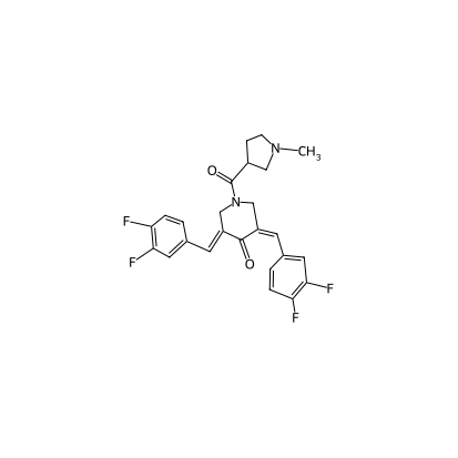 CN1CCC(C(=O)N2CC(=Cc3ccc(F)c(F)c3)C(=O)C(=Cc3ccc(F)c(F)c3)C2)C1